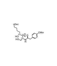 CCCCCCCCCCCCCC[C@@H](O)[C@@H](O)[C@H](CO)NC(=O)Cc1ccc(OC)cc1